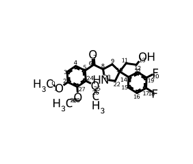 COc1ccc(C(=O)C2CC(CCO)(c3ccc(F)c(F)c3)CN2)c(OC)c1OC